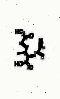 C=C(C(=O)O)C(C)C=CC(=O)O.C=CC#N